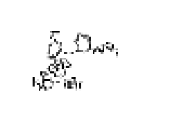 CCCC[C@@](CC)(CO)CS(=O)(=O)c1ccc(F)cc1Cc1cccc([N+](=O)[O-])c1